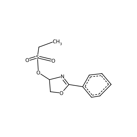 CCS(=O)(=O)OC1COC(c2ccccc2)=N1